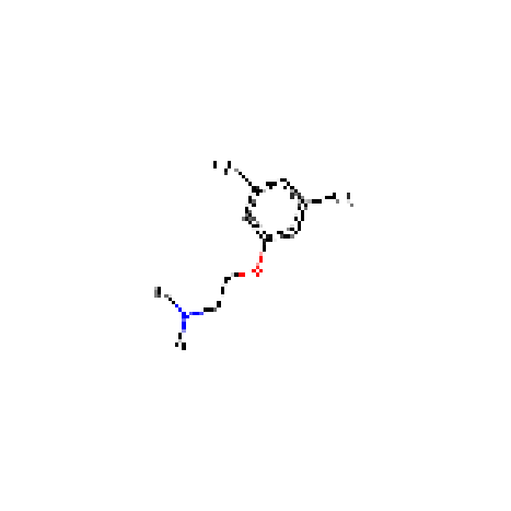 CCN(CC)CCOc1cc(C)cc(C)c1